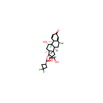 C[C@]12C[C@H](O)[C@@]3(F)[C@@H](C[C@H](F)C4=CC(=O)C=C[C@@]43C)[C@]1(C)C[C@H]1O[C@@H](C3CC(F)(F)C3)O[C@]12C(=O)CO